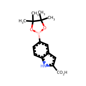 CC1(C)OB(c2ccc3[nH]c(C(=O)O)cc3c2)OC1(C)C